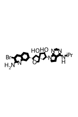 CC(C)Nc1ncnc2c1ccn2[C@@H]1C[C@@]2(CO[C@H](c3ccc4cc(Br)c(N)nc4c3)C2)[C@@H](O)[C@H]1O